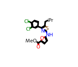 COC(=O)c1ccc(Nc2nc(-c3ccc(Cl)c(Cl)c3)c(CC(C)C)s2)o1